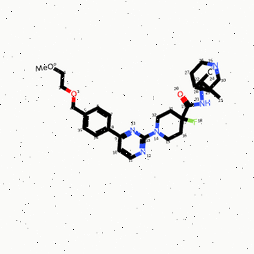 COCCOCc1ccc(-c2ccnc(N3CCC(F)(C(=O)NC4(C)CN5CCC4CC5)CC3)n2)cc1